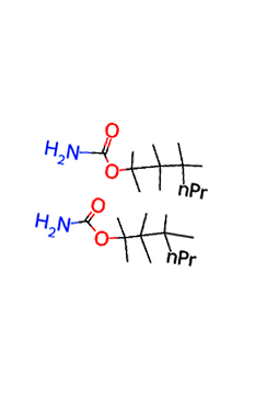 CCCC(C)(C)C(C)(C)C(C)(C)OC(N)=O.CCCC(C)(C)C(C)(C)C(C)(C)OC(N)=O